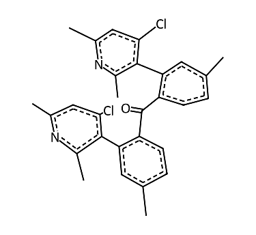 Cc1ccc(C(=O)c2ccc(C)cc2-c2c(Cl)cc(C)nc2C)c(-c2c(Cl)cc(C)nc2C)c1